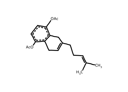 CC(=O)Oc1ccc(OC(C)=O)c2c1CC=C(CCC=C(C)C)C2